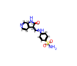 NS(=O)(=O)c1ccc(N/C=C2\C(=O)Nc3cnccc32)cc1